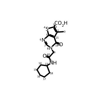 Cc1c(C(=O)O)sc2ncn(CC(=O)NC3CCCCC3)c(=O)c12